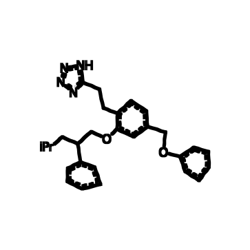 CC(C)CC(COc1cc(COc2ccccc2)ccc1CCc1nnn[nH]1)c1ccccc1